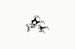 Cc1c[nH]nc1C.N=C(N)N.O=[N+]([O-])O